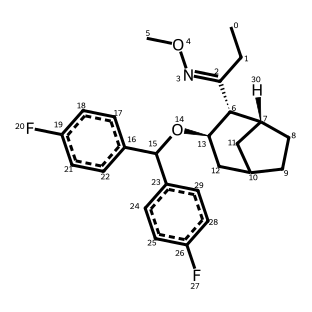 CCC(=NOC)[C@@H]1[C@@H]2CCC(C2)C[C@H]1OC(c1ccc(F)cc1)c1ccc(F)cc1